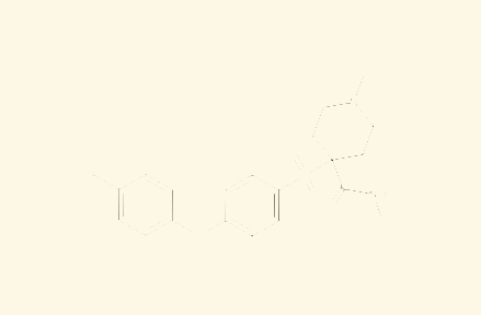 CN1CCC(C(=O)NO)(S(=O)(=O)c2ccc(Oc3ccc(Cl)cc3)cc2)CC1